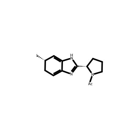 CC(=O)N1CCC[C@H]1c1nc2c([nH]1)=C[C@@H](I)CC=2